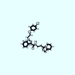 O=C(NCCc1nnc2ccccn12)c1nn(CCOc2ccc(Cl)cc2)c2ccccc12